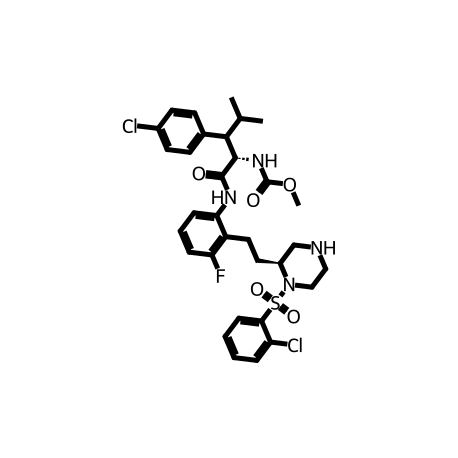 COC(=O)N[C@H](C(=O)Nc1cccc(F)c1CC[C@H]1CNCCN1S(=O)(=O)c1ccccc1Cl)C(c1ccc(Cl)cc1)C(C)C